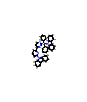 c1ccc([Si](c2ccccc2)(c2nccc(-c3cccc(-n4c5ccccc5c5ccccc54)n3)n2)n2c3ccccc3c3ccccc32)cc1